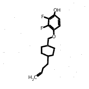 C=CCCC1CCC(COc2ccc(O)c(F)c2F)CC1